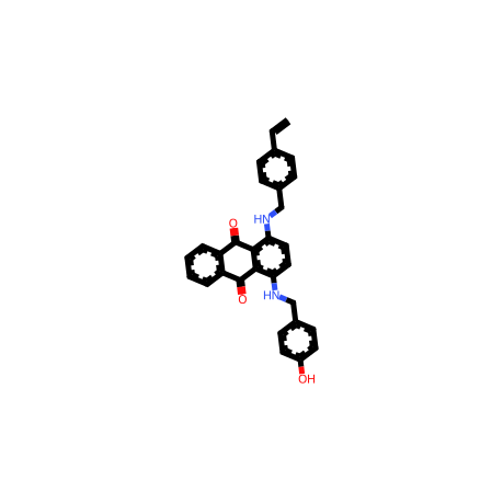 C=Cc1ccc(CNc2ccc(NCc3ccc(O)cc3)c3c2C(=O)c2ccccc2C3=O)cc1